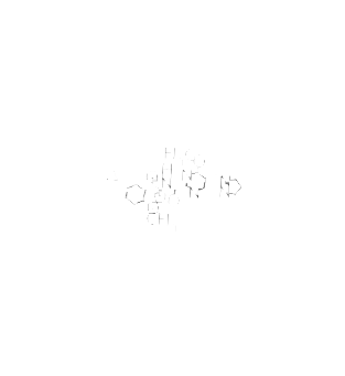 COc1ccc(C2CC2)cc1S(=O)(=O)NC(=O)c1ncc(Cn2cccn2)c(OC)n1